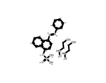 CCNCCO.CCNCCO.O=P(O)(O)Oc1ccc(/N=N/c2ccccc2)c2ccccc12